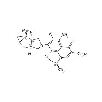 C[C@H]1COc2c(N3C[C@H]4CC5C[C@]5(N)[C@H]4C3)c(F)c(N)c3c(=O)c(C(=O)O)cn1c23